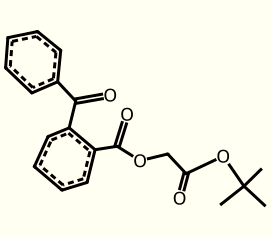 CC(C)(C)OC(=O)COC(=O)c1ccccc1C(=O)c1ccccc1